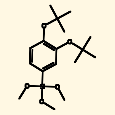 CO[Si](OC)(OC)c1ccc(OC(C)(C)C)c(OC(C)(C)C)c1